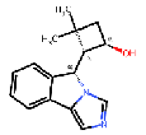 CC1(C)C[C@@H](O)[C@@H]1[C@H]1c2ccccc2-c2cncn21